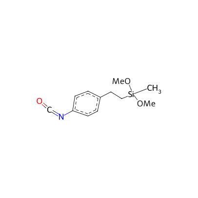 CO[Si](C)(CCc1ccc(N=C=O)cc1)OC